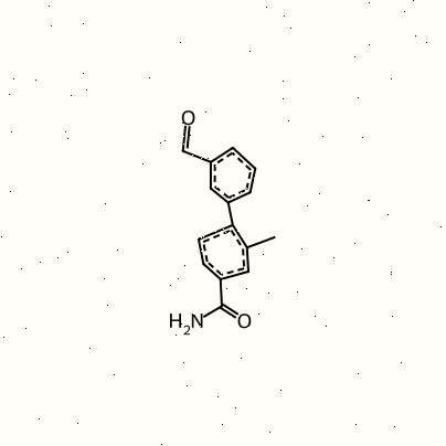 Cc1cc(C(N)=O)ccc1-c1cccc(C=O)c1